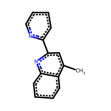 Cc1cc(-c2ccccn2)nc2ccccc12